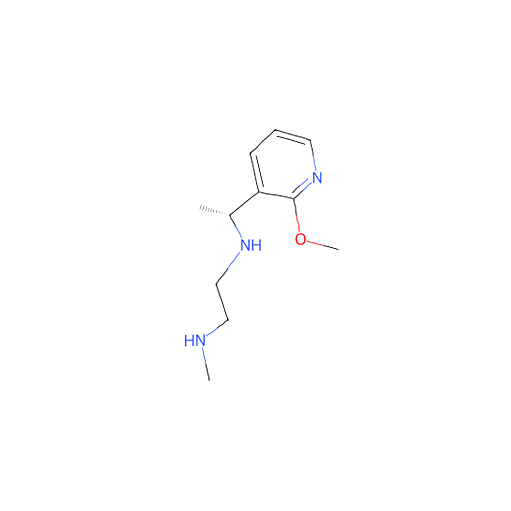 CNCCN[C@H](C)c1cccnc1OC